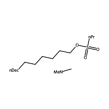 CCCCCCCCCCCCCCCCOS(=O)(=O)CCC.CNC